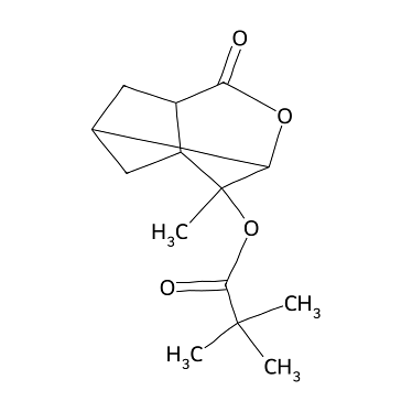 CC(C)(C)C(=O)OC1(C)C2CC3CC2C(=O)OC31